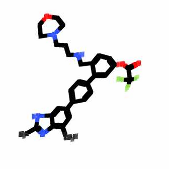 Cc1nc2c(C(=O)O)cc(-c3ccc(-c4ccccc4CNCCCN4CCOCC4)cc3)cc2[nH]1.O=C(O)C(F)(F)F